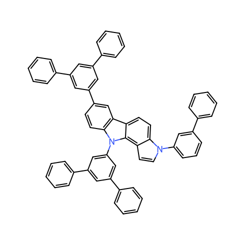 c1ccc(-c2cc(-c3ccccc3)cc(-c3ccc4c(c3)c3ccc5c(ccn5-c5cccc(-c6ccccc6)c5)c3n4-c3cc(-c4ccccc4)cc(-c4ccccc4)c3)c2)cc1